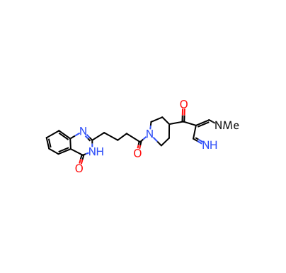 CN/C=C(\C=N)C(=O)C1CCN(C(=O)CCCc2nc3ccccc3c(=O)[nH]2)CC1